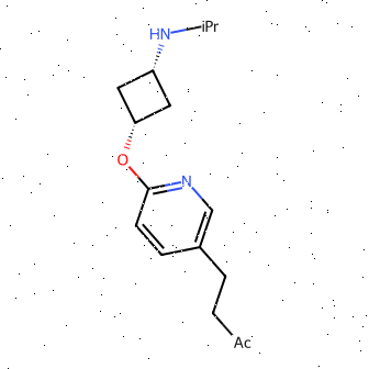 CC(=O)CCc1ccc(O[C@H]2C[C@@H](NC(C)C)C2)nc1